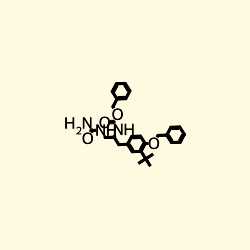 CC(C)(C)c1cc(CC(CNC(N)=O)NC(=O)OCc2ccccc2)ccc1OCc1ccccc1